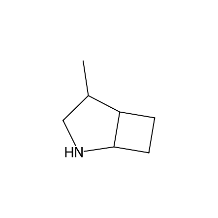 CC1CNC2CCC12